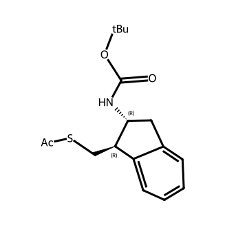 CC(=O)SC[C@@H]1c2ccccc2C[C@H]1NC(=O)OC(C)(C)C